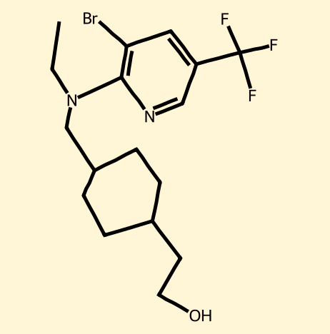 CCN(CC1CCC(CCO)CC1)c1ncc(C(F)(F)F)cc1Br